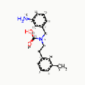 Cc1cccc(CCN(Cc2cccc(N)c2)C(=O)O)c1